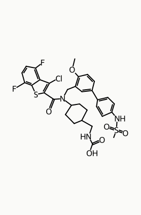 COc1ccc(-c2ccc(NS(C)(=O)=O)cc2)cc1CN(C(=O)c1sc2c(F)ccc(F)c2c1Cl)C1CCC(CNC(=O)O)CC1